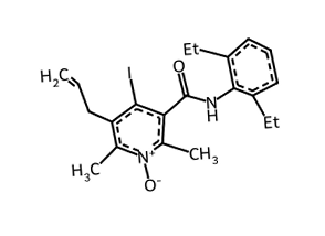 C=CCc1c(I)c(C(=O)Nc2c(CC)cccc2CC)c(C)[n+]([O-])c1C